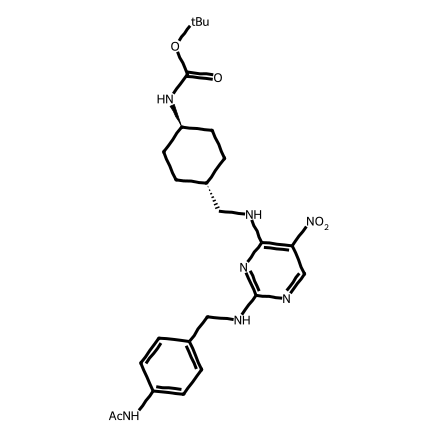 CC(=O)Nc1ccc(CNc2ncc([N+](=O)[O-])c(NC[C@H]3CC[C@H](NC(=O)OC(C)(C)C)CC3)n2)cc1